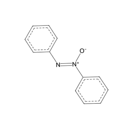 [O-]/[N+](=N\c1ccccc1)c1ccccc1